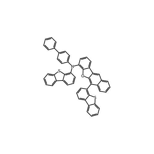 c1ccc(-c2ccc(N(c3cccc4c3oc3c(-c5cccc6c5sc5ccccc56)c5ccccc5cc34)c3cccc4c3sc3ccccc34)cc2)cc1